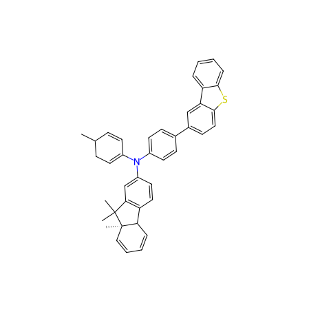 CC1C=CC(N(c2ccc(-c3ccc4sc5ccccc5c4c3)cc2)c2ccc3c(c2)C(C)(C)[C@]2(C)C=CC=CC32)=CC1